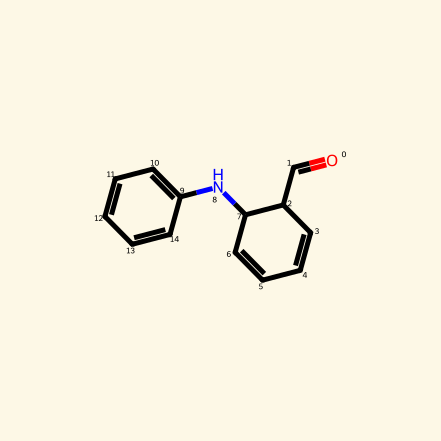 O=CC1C=CC=CC1Nc1ccccc1